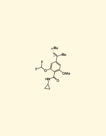 CCC(C)/C(=C\[C@@H](C)CC)c1cc(OC)c(C(=O)NC2CC2)c(OC(F)F)c1